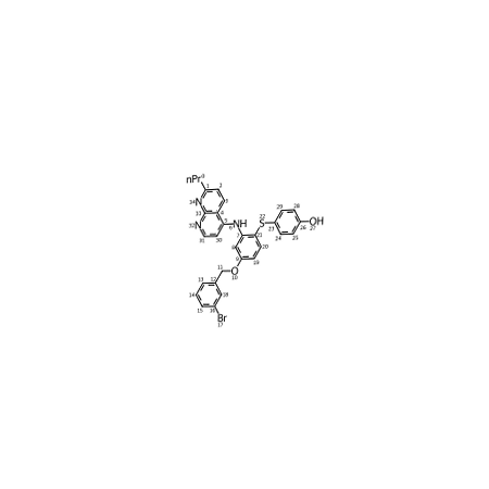 CCCc1ccc2c(Nc3cc(OCc4cccc(Br)c4)ccc3Sc3ccc(O)cc3)ccnc2n1